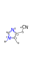 Cc1c(CC#N)ncn1C